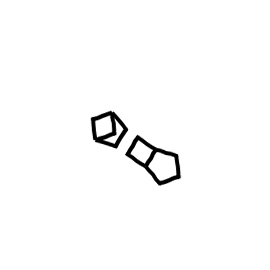 C1CC2CC1C2.C1CC2CCC2C1